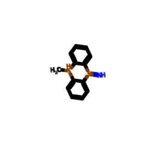 C[SH]1c2ccccc2S(=N)c2ccccc21